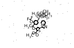 COC(=O)c1sc(-c2cnc3ccccn23)cc1O[C@H](C)c1ccc(CO[Si](C)(C)OC(C)(C)C)cc1OC(F)F